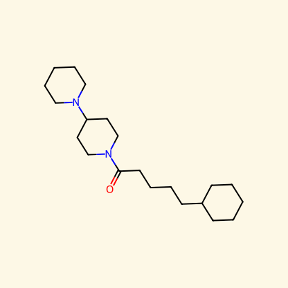 O=C(CCCCC1CCCCC1)N1CCC(N2CCCCC2)CC1